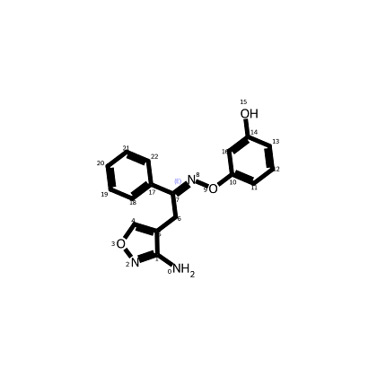 Nc1nocc1C/C(=N\Oc1cccc(O)c1)c1ccccc1